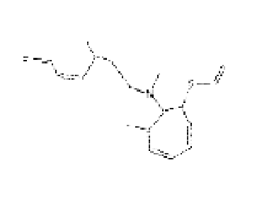 C=C/C=C\C(C)CCN(C)C1C(C)C=CC=CC1SC=C